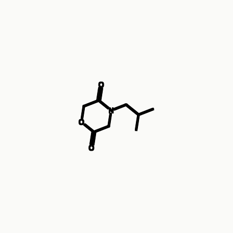 CC(C)CN1CC(=O)OCC1=O